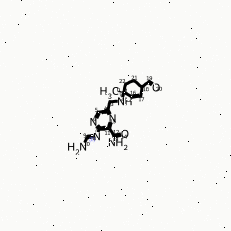 C[C@@]1(NCc2cnc(/N=C/N)c(C(N)=O)n2)C=CC(C=O)CC1